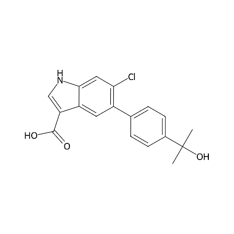 CC(C)(O)c1ccc(-c2cc3c(C(=O)O)c[nH]c3cc2Cl)cc1